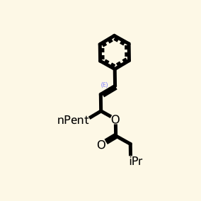 CCCCCC(/C=C/c1ccccc1)OC(=O)CC(C)C